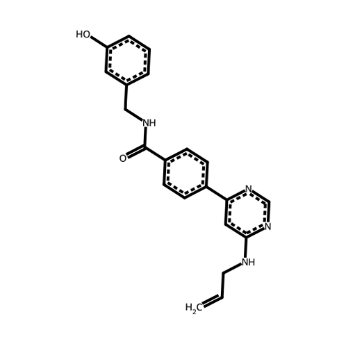 C=CCNc1cc(-c2ccc(C(=O)NCc3cccc(O)c3)cc2)ncn1